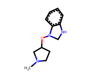 CN1CCC(ON2CNc3ccccc32)C1